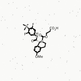 COc1ccc2c(c1)CCN(C(=O)OCCC(=O)O)[C@H]2C(=O)Nc1cc(F)c([Si](C)(C)C)c(F)c1